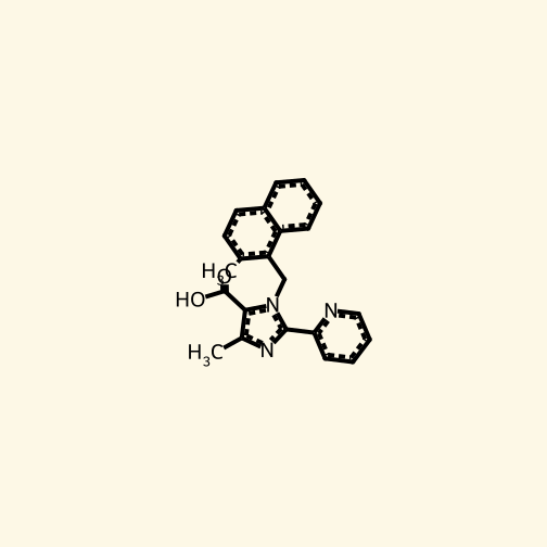 Cc1ccc2ccccc2c1Cn1c(-c2ccccn2)nc(C)c1C(=O)O